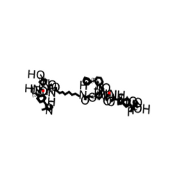 Cc1ncsc1-c1ccc([C@H](C)NC(=O)[C@@H]2C[C@@H](O)CN2C(=O)[C@@H](NC(=O)CCCCCCCNC(=O)CO[C@H]2C[C@@H](C(=O)N3CCC[C@H](c4ccccc4)C3)N(C(=O)[C@@H](NC(=O)c3cc4cc(C(F)(F)P(=O)(O)O)ccc4s3)C(C)(C)C)C2)C(C)(C)C)cc1